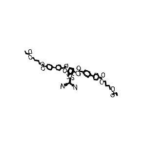 C=CC(=O)OCCCCOC(=O)C1CCC(C2CCC(C(=O)Oc3ccc(OC(=O)C4CCC(C5CCC(C(=O)OCCCCOC(=O)CC)CC5)CC4)c4c3SC(=C(C#N)C#N)S4)CC2)CC1